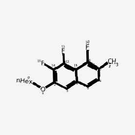 CCCCCCOc1cc2ccc(C)c(F)c2c(F)c1F